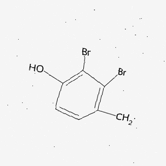 [CH2]c1ccc(O)c(Br)c1Br